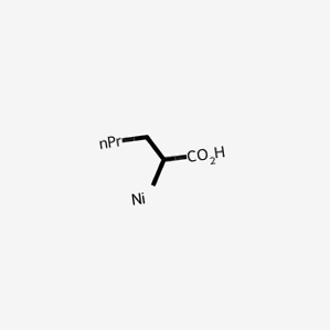 CCCCC(C)C(=O)O.[Ni]